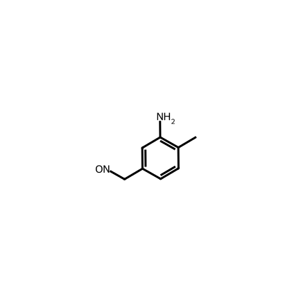 Cc1ccc(CN=O)cc1N